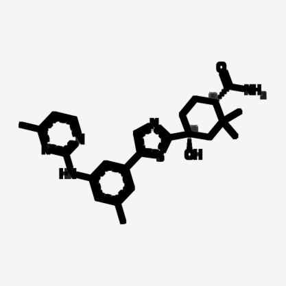 Cc1cc(Nc2nccc(C)n2)cc(-c2cnc([C@@]3(O)CC[C@H](C(N)=O)C(C)(C)C3)s2)c1